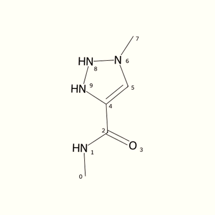 CNC(=O)C1=CN(C)NN1